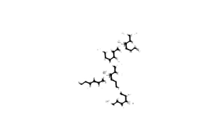 OCCC(O)C(O)C(O)C(O)OC(CCOC1OC(CO)C(O)C(O)[C@@H]1O)C(O)C(O)C(O)OC(CCO)C(O)C(O)C(O)OC(CCO)C(O)C(O)C(O)O